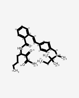 CCCCC(NC(=O)c1ccccc1C=Cc1ccc(CN(C)C(C)(C)CC)cc1)C(=O)C(N)=O